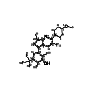 COC1CCN(c2nc3c(cc2F)c(-c2cc(C(F)(F)F)c(F)c(O)c2F)nn3C)CC1